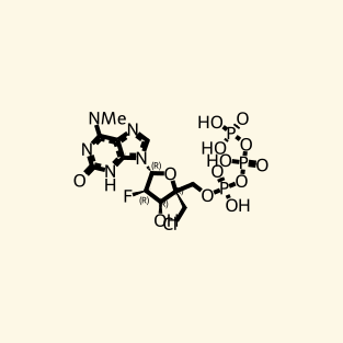 CNc1nc(=O)[nH]c2c1ncn2[C@@H]1O[C@](CCl)(COP(=O)(O)OP(=O)(O)OP(=O)(O)O)[C@@H](O)[C@H]1F